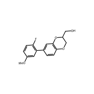 COc1ccc(F)c(-c2ccc3c(c2)OC(CO)CO3)c1